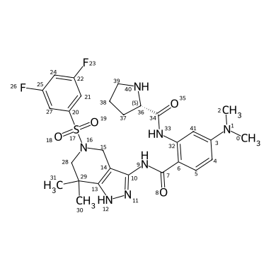 CN(C)c1ccc(C(=O)Nc2n[nH]c3c2CN(S(=O)(=O)c2cc(F)cc(F)c2)CC3(C)C)c(NC(=O)[C@@H]2CCCN2)c1